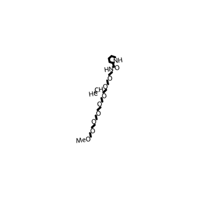 C#C.COCCOCCOCCOCCOCCOCCOCCOCCNC(=O)C1CCCCN1